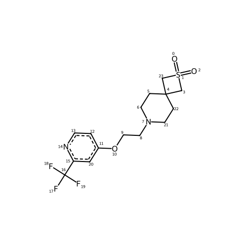 O=S1(=O)CC2(CCN(CCOc3ccnc(C(F)(F)F)c3)CC2)C1